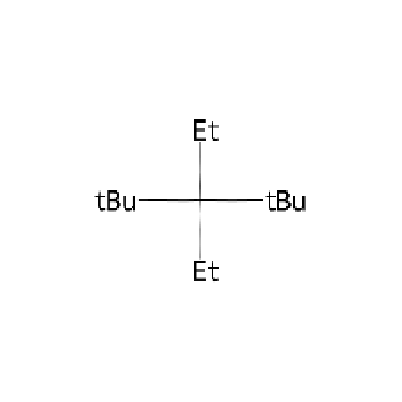 CCC(CC)(C(C)(C)C)C(C)(C)C